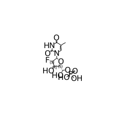 Cc1cn(C2O[C@H](C(O)OP(=O)(O)O)[C@@H](O)[C@@H]2F)c(=O)[nH]c1=O